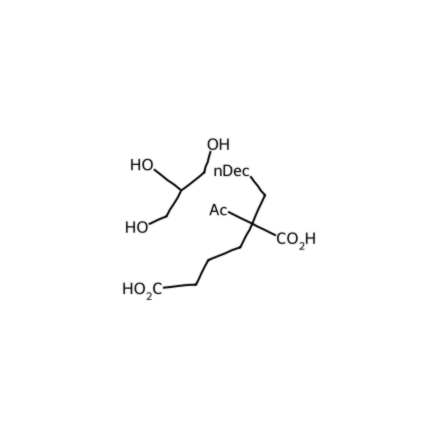 CCCCCCCCCCCC(CCCC(=O)O)(C(C)=O)C(=O)O.OCC(O)CO